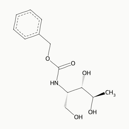 C[C@@H](O)[C@@H](O)[C@H](CO)NC(=O)OCc1ccccc1